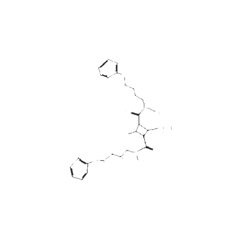 CCCN(CCCCOc1ccccc1)C(=O)C1C(C(=O)O)C(C(=O)N(CCC)CCCCOc2ccccc2)C1C(=O)O